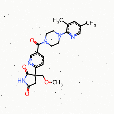 COC[C@@]1(c2ccc(C(=O)N3CCN(c4ncc(C)cc4C)CC3)cn2)CC(=O)NC1=O